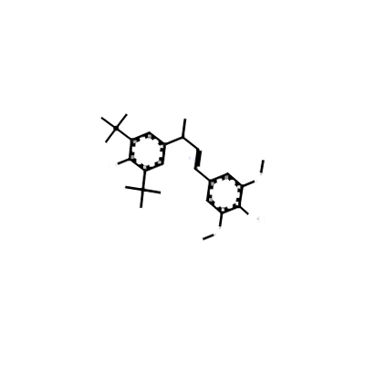 COc1cc(/C=C/C(C)c2cc(C(C)(C)C)c(O)c(C(C)(C)C)c2)cc(OC)c1O